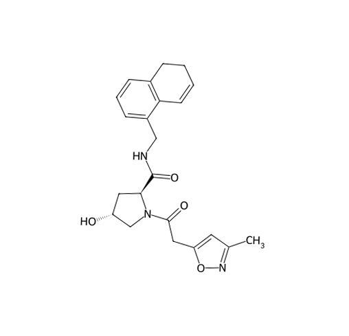 Cc1cc(CC(=O)N2C[C@H](O)C[C@H]2C(=O)NCc2cccc3c2C=CCC3)on1